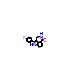 O=C1NCCc2c(-c3ccc(F)cc3)[nH]c3cccc1c23